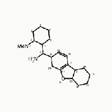 CNC1CCCCC1C(N)C1C=CC2=C(C1)OC1CCCCC21